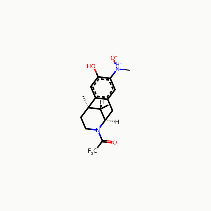 C[C@@H]1[C@H]2Cc3cc([NH+](C)[O-])c(O)cc3[C@]1(C)CCN2C(=O)C(F)(F)F